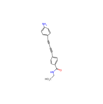 Nc1ccc(C#CC#Cc2ccc(C(=O)NCC(=O)O)cc2)cc1